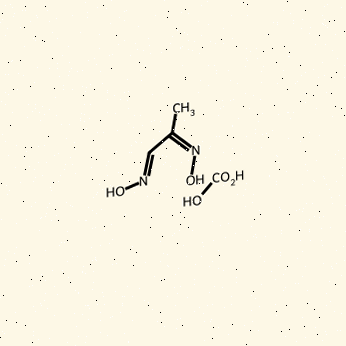 CC(C=NO)=NO.O=C(O)O